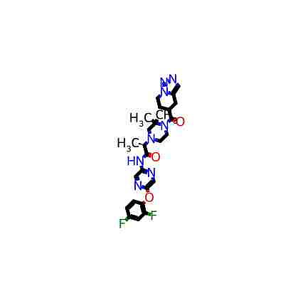 C[C@@H](C(=O)Nc1cnc(Oc2ccc(F)cc2F)cn1)N1CCN(C(=O)C2CCn3nncc3C2)C(C)(C)C1